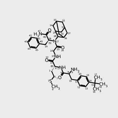 CSCC[C@@H](NC(=O)C(N)Cc1ccc(C(C)(C)C)cc1)C(=O)NCC(=O)N(C1C2CC3CC(C2)CC1C3)[C@@H](Cc1ccccc1)C(N)=O